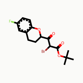 CC(C)(C)OC(=O)C(Br)C(=O)C1CCc2cc(F)ccc2O1